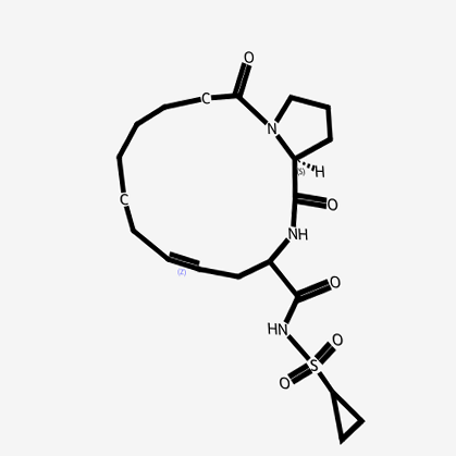 O=C(NS(=O)(=O)C1CC1)C1C/C=C\CCCCCCC(=O)N2CCC[C@H]2C(=O)N1